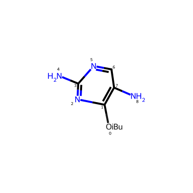 CC(C)COc1nc(N)ncc1N